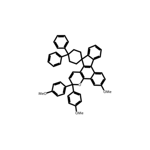 COc1ccc(C2(c3ccc(OC)cc3)C=Cc3c4c(c5ccc(OC)cc5c3O2)-c2ccccc2C42CCC(c3ccccc3)(c3ccccc3)CC2)cc1